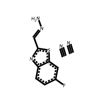 C#N.C#N.NN=Cc1nc2ccc(F)cc2s1